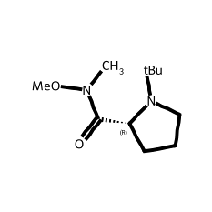 CON(C)C(=O)[C@H]1CCCN1C(C)(C)C